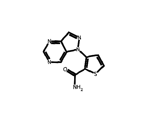 NC(=O)c1sccc1-n1ncc2ncncc21